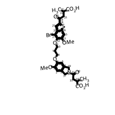 COc1cc2c(cc1OCCCOc1c(OC)cc3sc(C(=O)CC(C)C(=O)O)cc3c1Br)CN(C(=O)CC(C)C(=O)O)C2